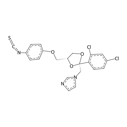 S=C=Nc1ccc(OC[C@@H]2CO[C@@](Cn3ccnc3)(c3ccc(Cl)cc3Cl)O2)cc1